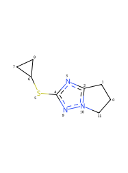 C1Cc2nc(SC3CC3)nn2C1